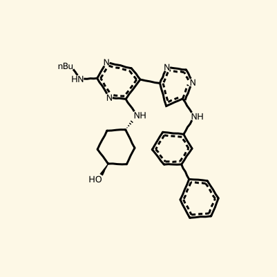 CCCCNc1ncc(-c2cc(Nc3cccc(-c4ccccc4)c3)ncn2)c(N[C@H]2CC[C@H](O)CC2)n1